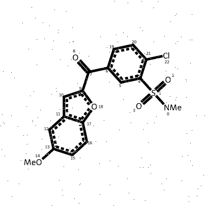 CNS(=O)(=O)c1cc(C(=O)c2cc3cc(OC)ccc3o2)ccc1Cl